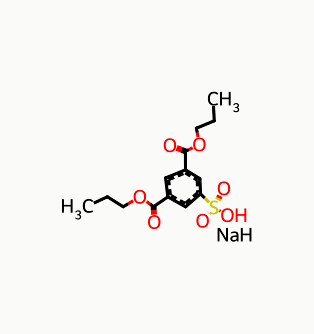 CCCOC(=O)c1cc(C(=O)OCCC)cc(S(=O)(=O)O)c1.[NaH]